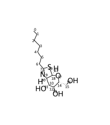 CCCCCCCC1=N[C@@H]2[C@@H](O)[C@H](O)[C@@H](CO)O[C@@H]2S1